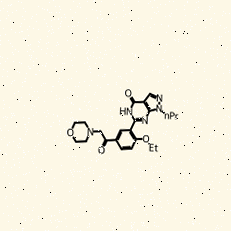 CCCn1ncc2c(=O)[nH]c(-c3cc(C(=O)CN4CCOCC4)ccc3OCC)nc21